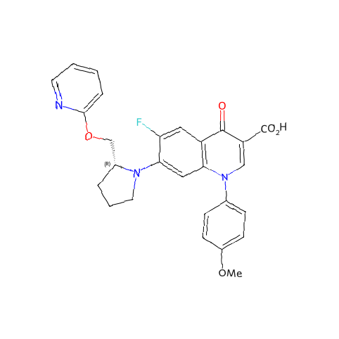 COc1ccc(-n2cc(C(=O)O)c(=O)c3cc(F)c(N4CCC[C@@H]4COc4ccccn4)cc32)cc1